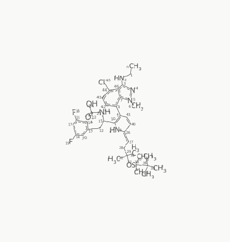 CCNc1nn(C)c2c(C3=C(C(Cc4cc(F)cc(F)c4)NC(=O)O)NC(=CCC(C)(C)O[Si](C)(C)C(C)(C)C)C=C3)ccc(Cl)c12